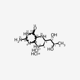 C[C@@H](O)[C@@H](O)[C@H]1CNc2nc(N)[nH]c(=O)c2N1.Cl.Cl